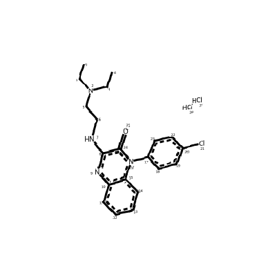 CCN(CC)CCNc1nc2ccccc2n(-c2ccc(Cl)cc2)c1=O.Cl.Cl